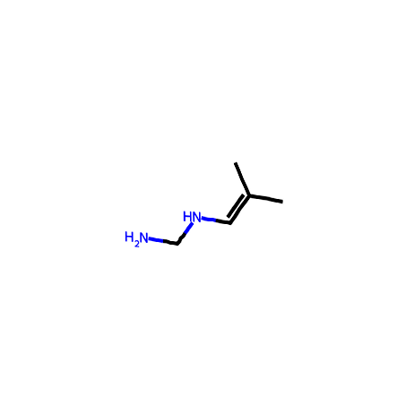 CC(C)=CNCN